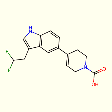 O=C(O)N1CC=C(c2ccc3[nH]cc(CC(F)F)c3c2)CC1